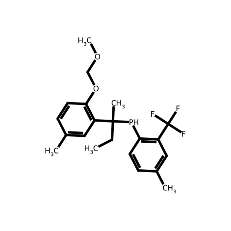 CCC(C)(Pc1ccc(C)cc1C(F)(F)F)c1cc(C)ccc1OCOC